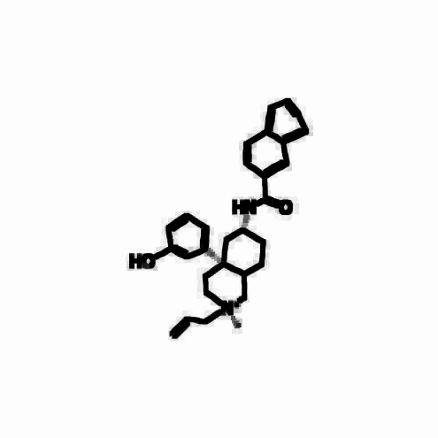 C=CC[N@@+]1(C)CC[C@@]2(c3cccc(O)c3)C[C@H](NC(=O)c3ccc4ccccc4c3)CCC2C1